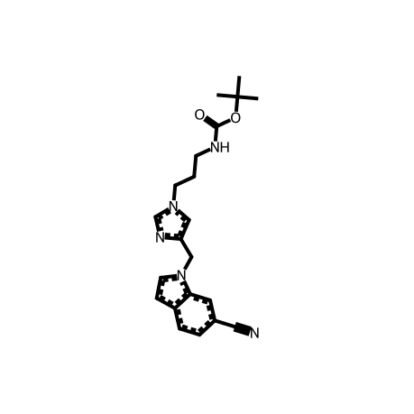 CC(C)(C)OC(=O)NCCCn1cnc(Cn2ccc3ccc(C#N)cc32)c1